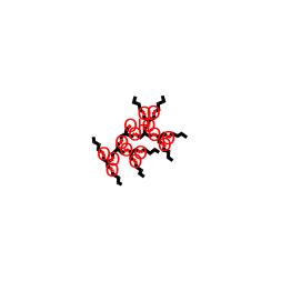 CCCCOCC(COCCCC)OCC(COCC(CO)COCC(COC(COCCCC)COCCCC)COC(COCCCC)COCCCC)COC(COCCCC)COCCCC